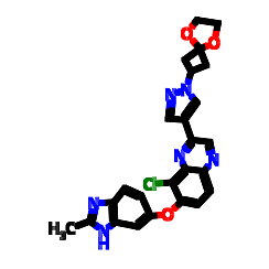 Cc1nc2ccc(Oc3ccc4ncc(-c5cnn(C6CC7(C6)OCCO7)c5)nc4c3Cl)cc2[nH]1